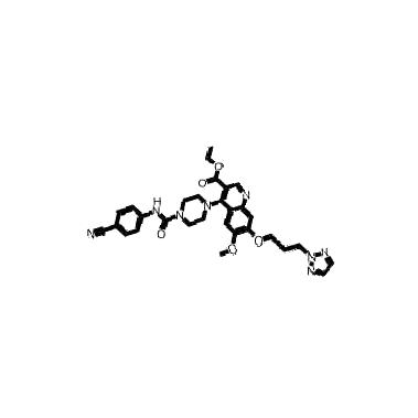 CCOC(=O)c1cnc2cc(OCCCn3nccn3)c(OC)cc2c1N1CCN(C(=O)Nc2ccc(C#N)cc2)CC1